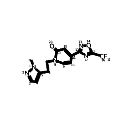 Cn1nccc1CCn1ccc(-c2noc(C(F)(F)F)n2)cc1=O